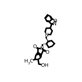 CC1C(CO)C2CC1C1C(=O)N(C[C@H]3CCCC[C@@H]3CN3CCC(c4noc5ccccc45)CC3)C(=O)C21